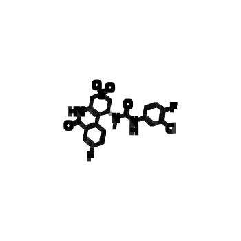 CN(C(=O)Nc1ccc(F)c(Cl)c1)[C@H]1CS(=O)(=O)Cc2[nH]c(=O)c3cc(F)ccc3c21